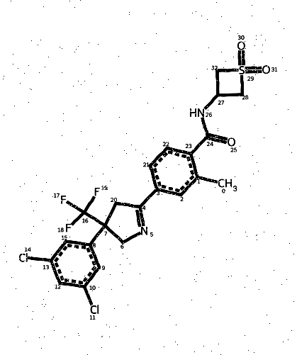 Cc1cc(C2=NCC(c3cc(Cl)cc(Cl)c3)(C(F)(F)F)C2)ccc1C(=O)NC1CS(=O)(=O)C1